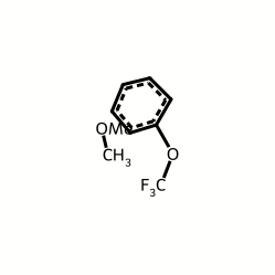 COC.FC(F)(F)Oc1ccccc1